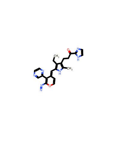 CCc1c(C=C2C=COC(N=[N])=C2c2cnccn2)[nH]c(C)c1CCC(=O)c1ncc[nH]1